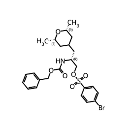 C[C@@H]1CC(C[C@H](COS(=O)(=O)c2ccc(Br)cc2)NC(=O)OCc2ccccc2)C[C@H](C)O1